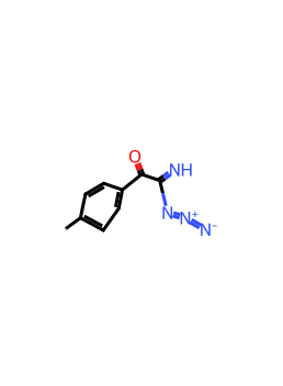 Cc1ccc(C(=O)C(=N)N=[N+]=[N-])cc1